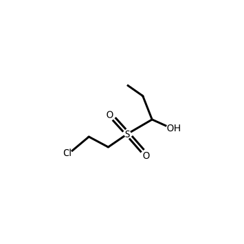 CCC(O)S(=O)(=O)CCCl